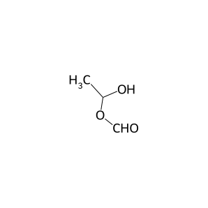 CC(O)OC=O